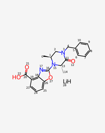 C[C@H]1CN(Cc2ccccc2)C(=O)[C@H](C)N1c1nc2c(C(=O)O)cccc2o1.[LiH]